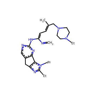 C=N/C(=C\C=C(/C)CN1CCN(CC)CC1)Nc1ncc2c(n1)-c1c(nc(CC)n1C(C)C)C2